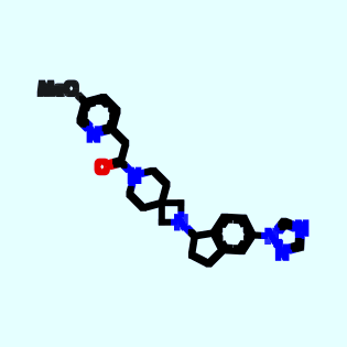 COc1ccc(CC(=O)N2CCC3(CC2)CN(C2CCc4cc(-n5cncn5)ccc42)C3)nc1